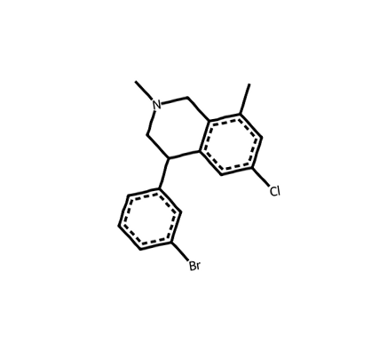 Cc1cc(Cl)cc2c1CN(C)CC2c1cccc(Br)c1